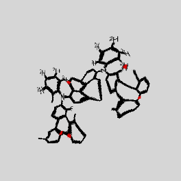 [2H]c1c([2H])c([2H])c(N(c2ccc(-c3c(C)cccc3C)c(-c3c(C)cccc3C)c2F)c2ccc3ccc4c(N(c5ccc(-c6cc(C)ccc6C)c(-c6c(C)cccc6C)c5F)c5c([2H])c([2H])c([2H])c([2H])c5C)ccc5ccc2c3c54)c([2H])c1[2H]